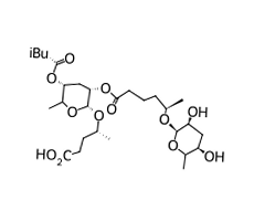 CC[C@@H](C)C(=O)O[C@@H]1C[C@H](OC(=O)CCC[C@@H](C)O[C@@H]2OC(C)[C@H](O)C[C@@H]2O)[C@H](O[C@H](C)CCC(=O)O)OC1C